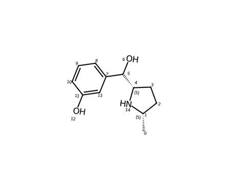 C[C@H]1CC[C@@H](C(O)c2cccc(O)c2)N1